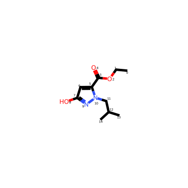 CCOC(=O)c1cc(O)nn1CC(C)C